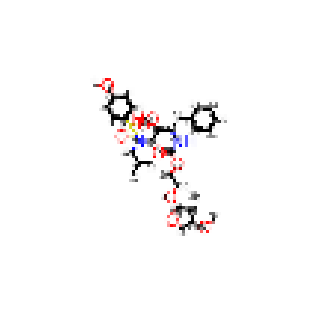 COc1ccc(S(=O)(=O)N(CC(C)C)C[C@@H](O)[C@H](Cc2ccccc2)NC(=O)OCCO[C@H]2OC[C@@H](OC)[C@H]2C)cc1